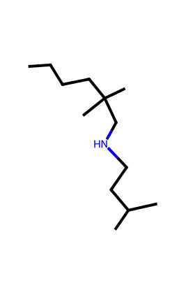 CCCCC(C)(C)CNCCC(C)C